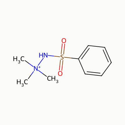 C[N+](C)(C)NS(=O)(=O)c1ccccc1